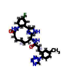 Cc1ccc(-n2cnnn2)c(/C=C/C(=O)N[C@H]2C/C=C/CCC(=O)Nc3ccc(F)cc3-c3c[nH]c2n3)c1